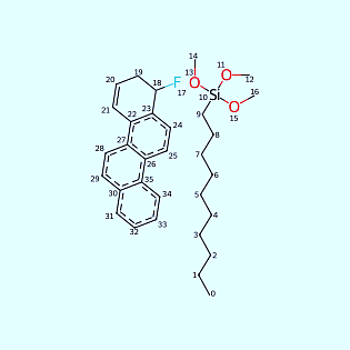 CCCCCCCCCC[Si](OC)(OC)OC.FC1CC=Cc2c1ccc1c2ccc2ccccc21